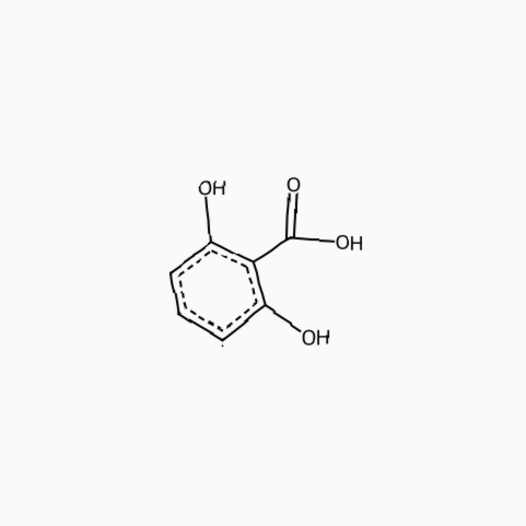 O=C(O)c1c(O)[c]ccc1O